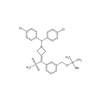 CC(C)(C)[Si](C)(C)OCc1cccc(C(=C2CN(C(c3ccc(Cl)cc3)c3ccc(Cl)cc3)C2)S(C)(=O)=O)c1